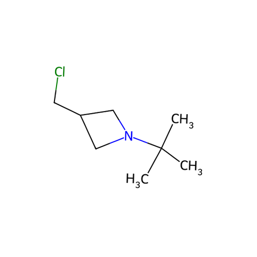 CC(C)(C)N1CC(CCl)C1